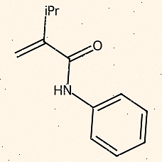 C=C(C(=O)Nc1ccccc1)C(C)C